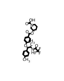 Cc1ccc([C@@H](Oc2ccc(C(=O)O[C@H]3CCCN(C(=O)O)C3)cc2)[C@H](C)NC(=O)C(F)(F)F)cc1